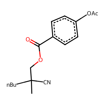 CCCCC(C)(C#N)COC(=O)c1ccc(OC(C)=O)cc1